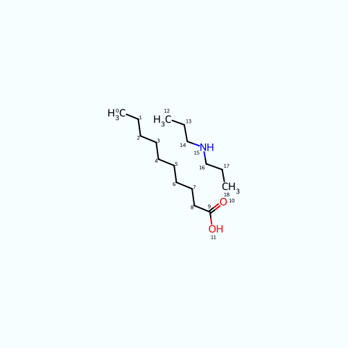 CCCCCCCCCC(=O)O.CCCNCCC